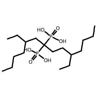 CCCCC(CC)CCC(CC(CC)CCCC)(P(=O)(O)O)P(=O)(O)O